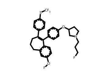 FCCCN1CCC(Oc2ccc(C3=C(c4ccc(SC(F)(F)F)cc4)CCCc4cc(OF)ccc43)cc2)C1